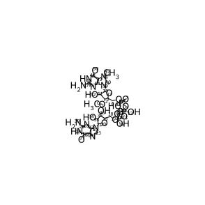 COC1C(COP(=O)(O)OP(=O)(O)OP(=O)(O)OC[C@H]2O[C@@H](n3cnc4c(=O)[nH]c(N)nc43)C(O)C2O)O[C@@H]([N+]2=C=[N+](C)c3c2nc(N)[nH]c3=O)C1O